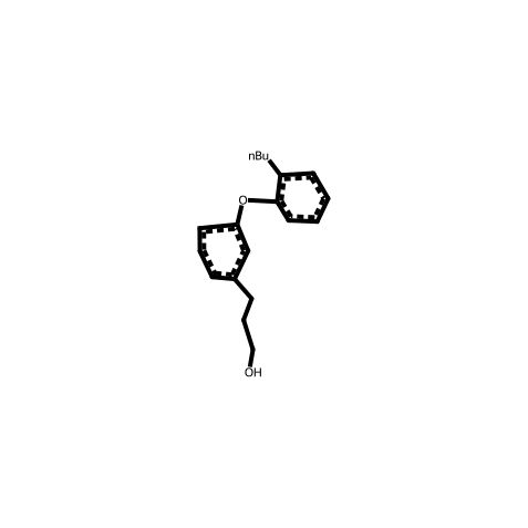 CCCCc1ccccc1Oc1cccc(CCCO)c1